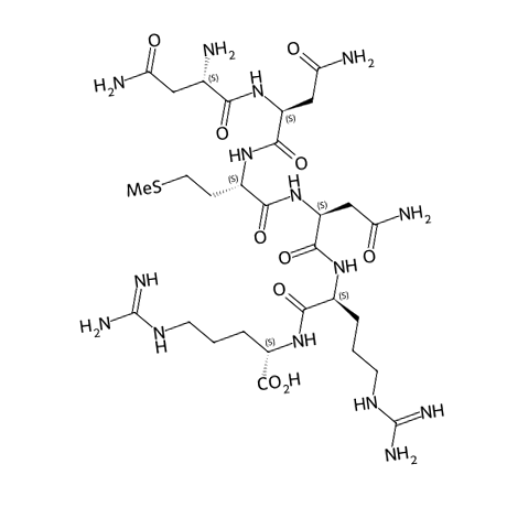 CSCC[C@H](NC(=O)[C@H](CC(N)=O)NC(=O)[C@@H](N)CC(N)=O)C(=O)N[C@@H](CC(N)=O)C(=O)N[C@@H](CCCNC(=N)N)C(=O)N[C@@H](CCCNC(=N)N)C(=O)O